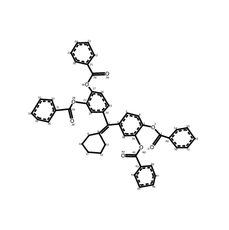 O=C(Oc1ccc(C(=C2CCCCC2)c2ccc(OC(=O)c3ccccc3)c(OC(=O)c3ccccc3)c2)cc1OC(=O)c1ccccc1)c1ccccc1